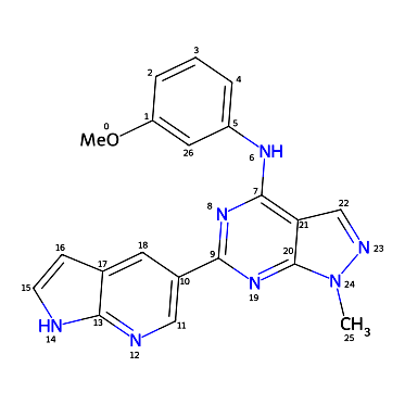 COc1cccc(Nc2nc(-c3cnc4[nH]ccc4c3)nc3c2cnn3C)c1